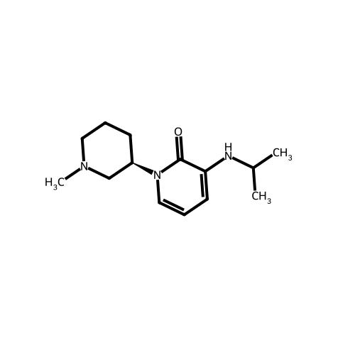 CC(C)Nc1cccn([C@@H]2CCCN(C)C2)c1=O